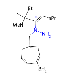 BC1=CC=C(CN(N)/C(=C\CCC)C(C)(CC)NC)CC=C1